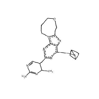 CC1N=C(N)N=CC1c1nc(N2CC3CC2C3)c2nc3n(c2n1)CCCOC3